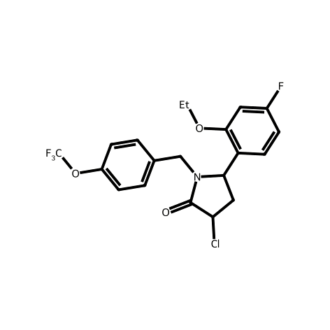 CCOc1cc(F)ccc1C1CC(Cl)C(=O)N1Cc1ccc(OC(F)(F)F)cc1